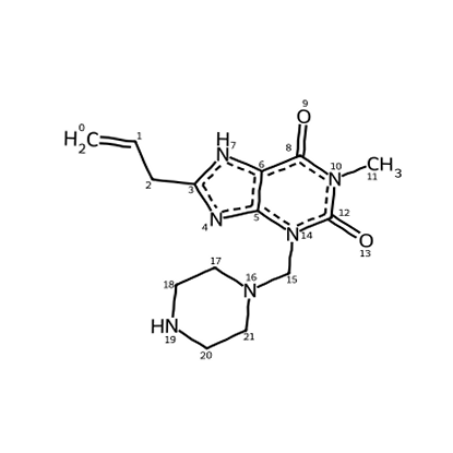 C=CCc1nc2c([nH]1)c(=O)n(C)c(=O)n2CN1CCNCC1